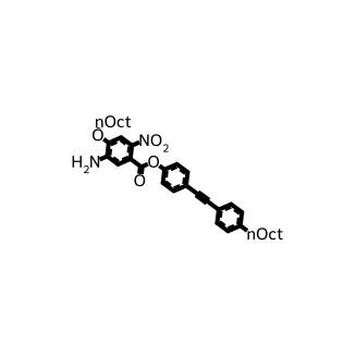 CCCCCCCCOc1cc([N+](=O)[O-])c(C(=O)Oc2ccc(C#Cc3ccc(CCCCCCCC)cc3)cc2)cc1N